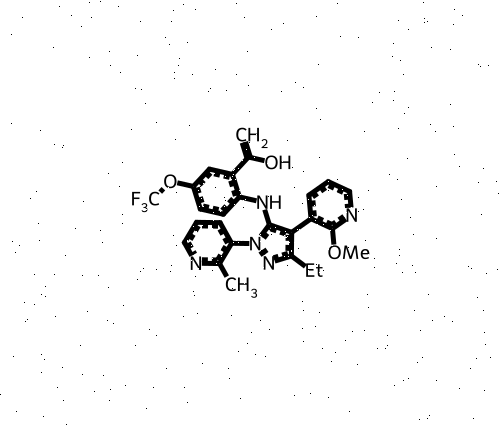 C=C(O)c1cc(OC(F)(F)F)ccc1Nc1c(-c2cccnc2OC)c(CC)nn1-c1cccnc1C